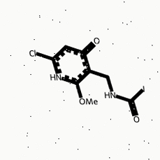 COc1[nH]c(Cl)cc(=O)c1CNC(=O)I